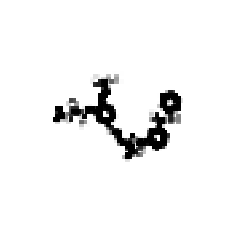 Cc1oc(-c2cccc(C(=O)Nc3ccccc3)c2)nc1CCOc1ccc(CCC(=O)O)c(CNC(=O)OC(C)C)c1